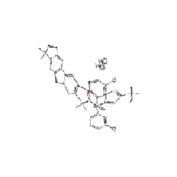 Cl.Cl.[CH2]=[Zr]([C]1=CC(C(C)(C)C)=CC1)([C]1=Cc2cc3c(cc2C1(C)C)Cc1cc2c(cc1-3)C=CC2(C)C)([c]1cccc(Cl)c1)[c]1cccc(Cl)c1